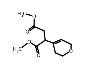 COC(=O)CC(C(=O)OC)C1=CCOCC1